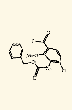 COc1c(C(=O)Cl)ccc(Cl)c1NC(=O)OCc1ccccc1